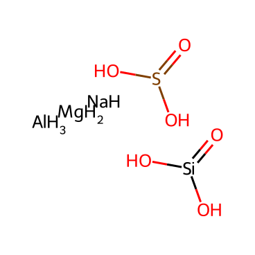 O=S(O)O.O=[Si](O)O.[AlH3].[MgH2].[NaH]